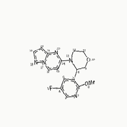 COc1ncc(F)cc1C1COCCN1c1ccn2nccc2n1